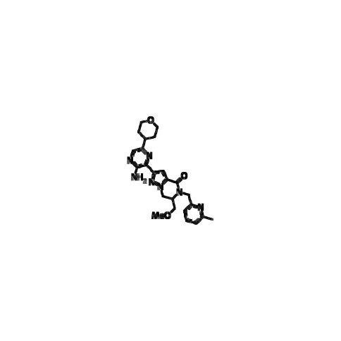 COCC1Cn2nc(-c3nc(C4CCOCC4)cnc3N)cc2C(=O)N1Cc1cccc(C)n1